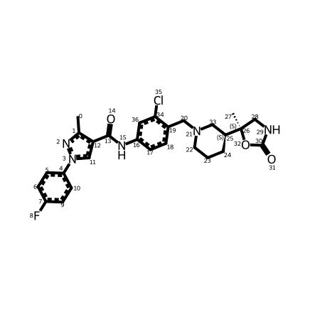 Cc1nn(-c2ccc(F)cc2)cc1C(=O)Nc1ccc(CN2CCC[C@H]([C@@]3(C)CNC(=O)O3)C2)c(Cl)c1